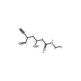 C#CC(C=O)CC(O)CC(=O)OCC